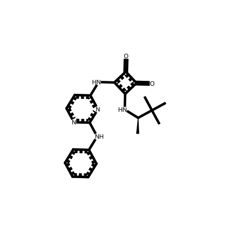 C[C@@H](Nc1c(Nc2ccnc(Nc3ccccc3)n2)c(=O)c1=O)C(C)(C)C